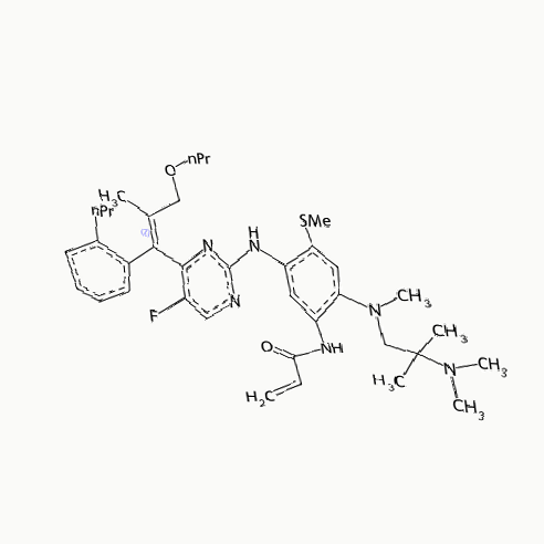 C=CC(=O)Nc1cc(Nc2ncc(F)c(/C(=C(/C)COCCC)c3ccccc3CCC)n2)c(SC)cc1N(C)CC(C)(C)N(C)C